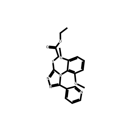 CCOC(=O)CSc1nnc(-c2cccnc2)n1-c1c(OC)cccc1OC